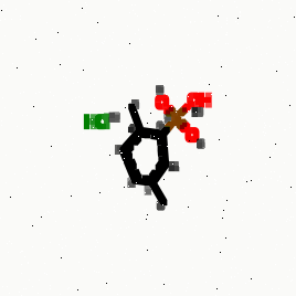 Cc1ccc(C)c(S(=O)(=O)O)c1.Cl